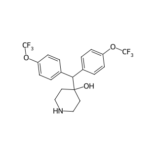 OC1(C(c2ccc(OC(F)(F)F)cc2)c2ccc(OC(F)(F)F)cc2)CCNCC1